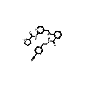 N#Cc1ccc(CONC(=O)c2ccccc2NCc2ccnc(NC(=O)C3CCCN3)c2)cc1